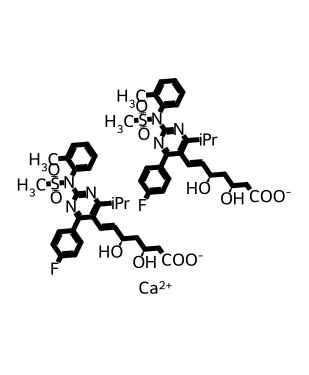 Cc1ccccc1N(c1nc(-c2ccc(F)cc2)c(/C=C/[C@@H](O)C[C@@H](O)CC(=O)[O-])c(C(C)C)n1)S(C)(=O)=O.Cc1ccccc1N(c1nc(-c2ccc(F)cc2)c(/C=C/[C@@H](O)C[C@@H](O)CC(=O)[O-])c(C(C)C)n1)S(C)(=O)=O.[Ca+2]